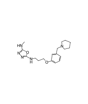 CNc1nnc(NCCCOc2cccc(CN3CCCCC3)c2)o1